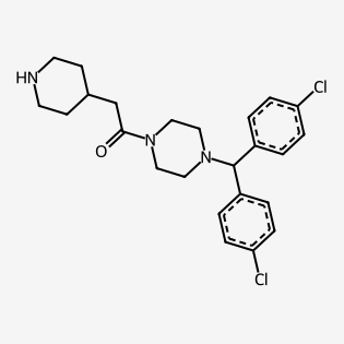 O=C(CC1CCNCC1)N1CCN(C(c2ccc(Cl)cc2)c2ccc(Cl)cc2)CC1